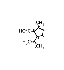 C=C(C)C1CCC(C)C1C(=O)O